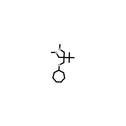 COCC(COC)(COC1CCCCCC1)C(C)(C)C